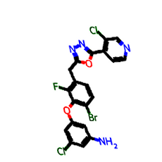 Nc1cc(Cl)cc(Oc2c(Br)ccc(Cc3nnc(-c4ccncc4Cl)o3)c2F)c1